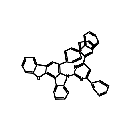 c1ccc(-c2ccc(-c3cc4c5ccccc5oc4c4c5ccccc5n(-c5nc(-c6ccccc6)cc(-c6ccccc6)n5)c34)cc2)cc1